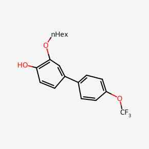 CCCCCCOc1cc(-c2ccc(OC(F)(F)F)cc2)ccc1O